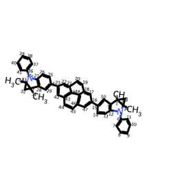 CC12CC1(C)N(c1ccccc1)c1ccc(-c3cc4ccc5cc(-c6ccc7c(c6)C6(C)CC6(C)N7c6ccccc6)cc6ccc(c3)c4c56)cc12